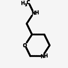 CNCC1CCNCO1